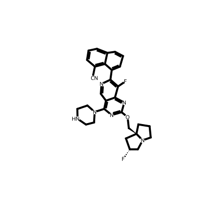 N#Cc1cccc2cccc(-c3ncc4c(N5CCNCC5)nc(OC[C@@]56CCCN5C[C@H](F)C6)nc4c3F)c12